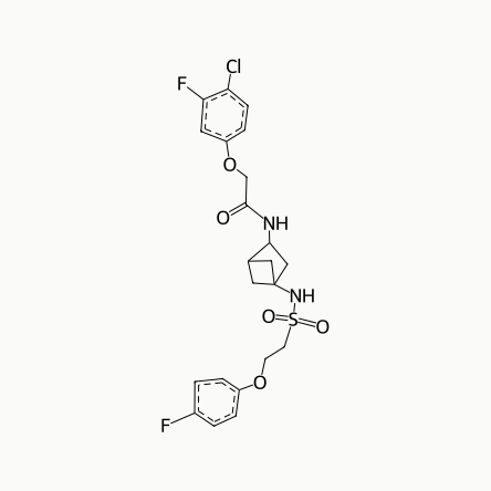 O=C(COc1ccc(Cl)c(F)c1)NC1CC2(NS(=O)(=O)CCOc3ccc(F)cc3)CC1C2